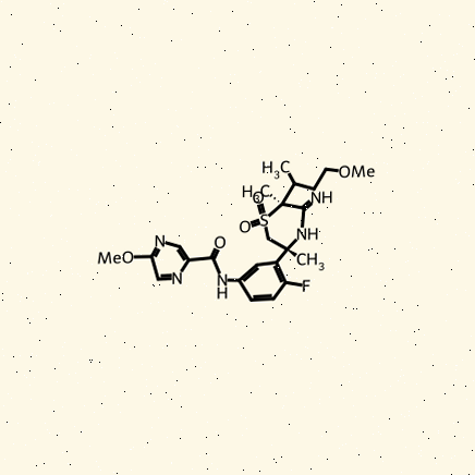 COCCC(C)[C@@]1(C)C(=N)N[C@](C)(c2cc(NC(=O)c3cnc(OC)cn3)ccc2F)CS1(=O)=O